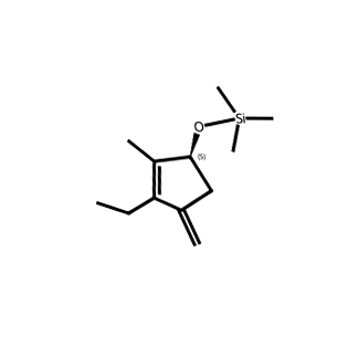 C=C1C[C@H](O[Si](C)(C)C)C(C)=C1CC